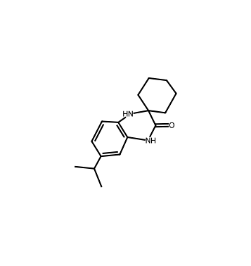 CC(C)c1ccc2c(c1)NC(=O)C1(CCCCC1)N2